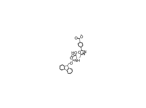 COC(=O)c1ccc(-c2nnc(C[C@H](NC(=O)OCC3c4ccccc4-c4ccccc43)C(=O)O)o2)cc1